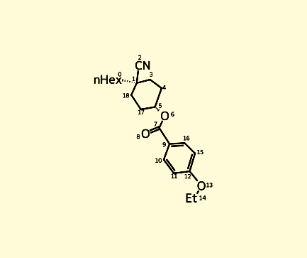 CCCCCC[C@]1(C#N)CC[C@H](OC(=O)c2ccc(OCC)cc2)CC1